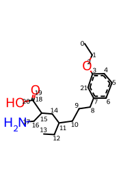 CCOc1cccc(CCCC(CC)CC(CN)C(=O)O)c1